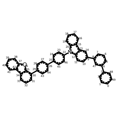 c1ccc(-c2cccc(-c3ccc4c(c3)c3ccccc3n4-c3ccc(-c4ccc(-c5cccc6c5oc5ccccc56)cc4)cc3)c2)cc1